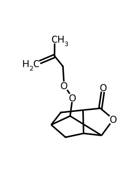 C=C(C)COOC1C2CC3C(=O)OC1C3C2